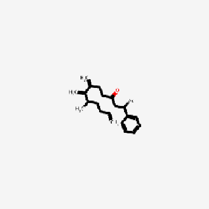 C=CCCC(C)C(=C)C(=C)CCC(=O)CC(C(C)=O)c1ccccc1